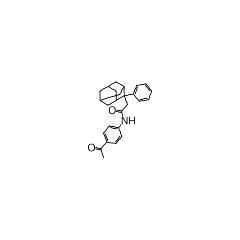 CC(=O)c1ccc(NC(=O)CC2(c3ccccc3)C3CC4CC(C3)CC2C4)cc1